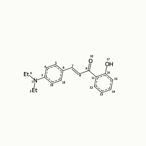 CCN(CC)c1ccc(C=CC(=O)c2ccccc2O)cc1